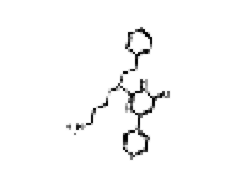 NCCCCN(CCc1ccccc1)c1nc(-c2ccncc2)cc(=O)[nH]1